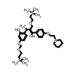 CC(C(COCC[Si](C)(C)C)=C(O)c1ccc(OCCN2CCCCC2)cc1)c1ccc(OCOCC[Si](C)(C)C)cc1O